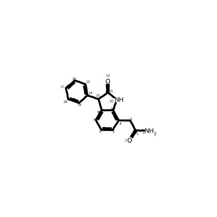 NC(=O)Cc1cccc2c1NC(=O)C2c1ccccc1